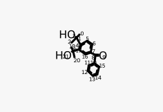 CC(C)(O)c1ccc(C(=O)c2ccccc2)cc1C(C)(C)O